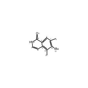 Cc1cc2c(=O)[nH]ccc2c(C)c1C(C)(C)C